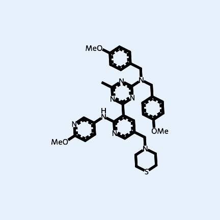 COc1ccc(CN(Cc2ccc(OC)cc2)c2nc(C)nc(-c3cc(CN4CCSCC4)cnc3Nc3ccc(OC)nc3)n2)cc1